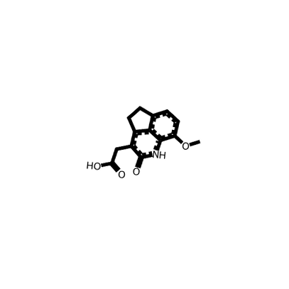 COc1ccc2c3c(c(CC(=O)O)c(=O)[nH]c13)CC2